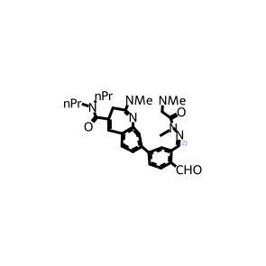 CCCN(CCC)C(=O)C1=Cc2ccc(-c3ccc(C=O)c(/C=N\N(C)C(=O)CNC)c3)cc2N=C(NC)C1